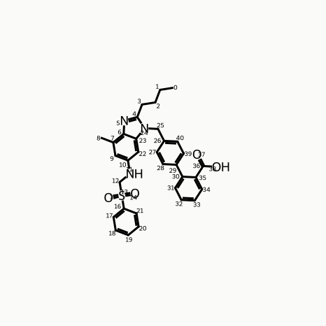 CCCCc1nc2c(C)cc(NCS(=O)(=O)c3ccccc3)cc2n1Cc1ccc(-c2ccccc2C(=O)O)cc1